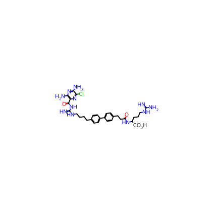 N=C(N)NCCC[C@H](NC(=O)CCc1ccc(-c2ccc(CCCCNC(=N)NC(=O)c3nc(Cl)c(N)nc3N)cc2)cc1)C(=O)O